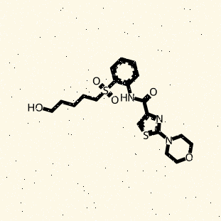 O=C(Nc1ccccc1S(=O)(=O)CCCCCO)c1csc(N2CCOCC2)n1